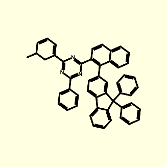 CC1C=CC=C(c2nc(-c3ccccc3)nc(-c3ccc4ccccc4c3-c3ccc4c(c3)C(c3ccccc3)(c3ccccc3)c3ccccc3-4)n2)C1